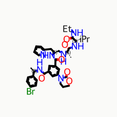 CCNC(=O)[C@@H](NC(=O)[C@H](C)NC[C@H](Cc1ccccn1)NC(=O)c1cc(C(=O)N[C@H](C)c2ccc(Br)cc2)cc(N2CCCOC2=O)c1)C(C)C